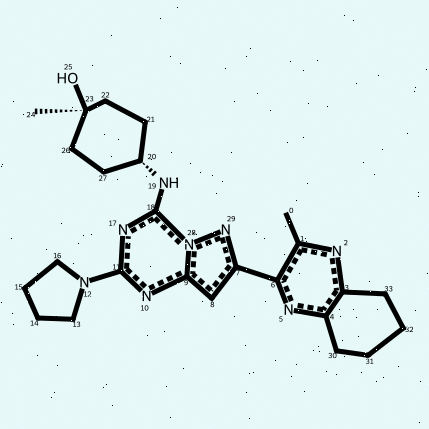 Cc1nc2c(nc1-c1cc3nc(N4CCCC4)nc(N[C@H]4CC[C@](C)(O)CC4)n3n1)CCCC2